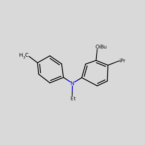 CCN(c1ccc(C)cc1)c1ccc(C(C)C)c(OCC(C)C)c1